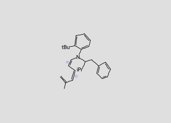 C=C(C)/C=C\C=C/N(c1ccccc1C(C)(C)C)C(Cc1ccccc1)C(C)C